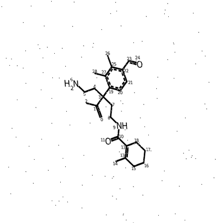 C=C(C)C(CCN)(CCNC(=O)C1=C(C)CCCC1)c1ccc(C=O)c(C)c1C